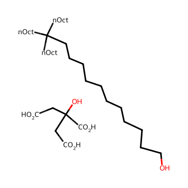 CCCCCCCCC(CCCCCCCC)(CCCCCCCC)CCCCCCCCCCCO.O=C(O)CC(O)(CC(=O)O)C(=O)O